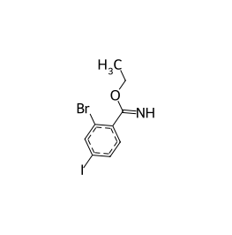 CCOC(=N)c1ccc(I)cc1Br